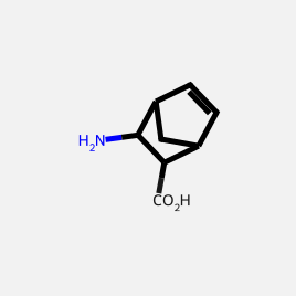 NC1C2C=CC(C2)C1C(=O)O